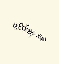 Clc1cc(Nc2ccnc(SCCCC3CNCCO3)n2)ccc1OCc1ccccn1